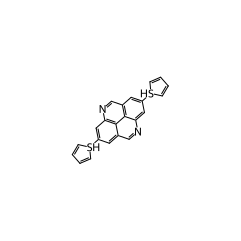 C1=C[SH](c2cc3cnc4cc([SH]5C=CC=C5)cc5cnc(c2)c3c54)C=C1